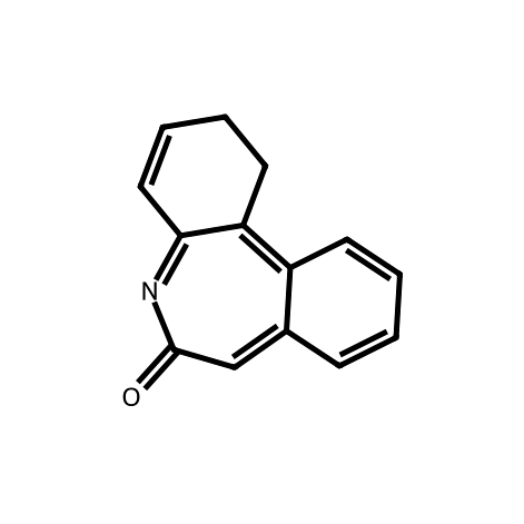 O=c1cc2ccccc2c2c(n1)C=CCC2